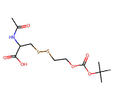 CC(=O)NC(CSSCCOC(=O)OC(C)(C)C)C(=O)O